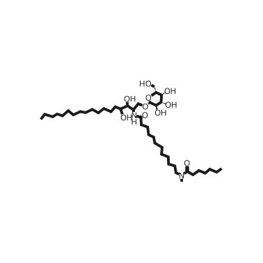 CCCCCCCCCCCCCCC(O)C(O)C(CO[C@H]1O[C@H](CO)[C@H](O)[C@H](O)[C@H]1O)NC(=O)CCCCCCCCCCCN(C)C(=O)CCCCCC